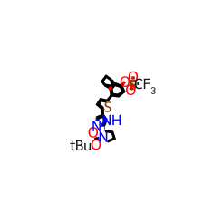 CC(C)(C)OC(=O)N1CCC[C@H]1c1ncc(-c2ccc(-c3ccc(OS(=O)(=O)C(F)(F)F)c4c3C3CCC4C3)s2)[nH]1